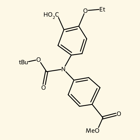 CCOc1ccc(N(C(=O)OC(C)(C)C)c2ccc(C(=O)OC)cc2)cc1C(=O)O